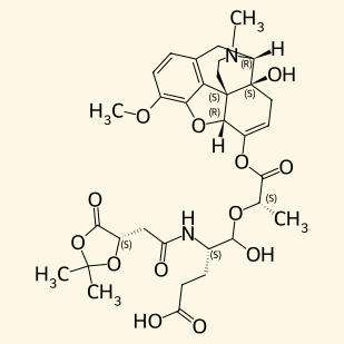 COc1ccc2c3c1O[C@H]1C(OC(=O)[C@H](C)OC(O)[C@H](CCC(=O)O)NC(=O)C[C@@H]4OC(C)(C)OC4=O)=CC[C@@]4(O)[C@@H](C2)N(C)CC[C@]314